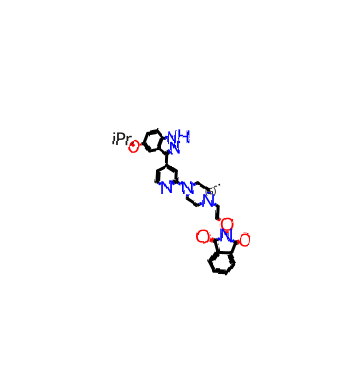 CC(C)Oc1ccc2[nH]nc(-c3ccnc(N4CCN(CCON5C(=O)c6ccccc6C5=O)[C@@H](C)C4)c3)c2c1